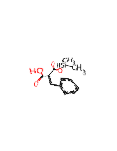 C[SiH](C)OC(=O)C(=Cc1ccccc1)C(=O)O